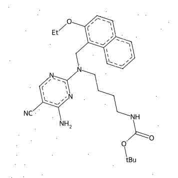 CCOc1ccc2ccccc2c1CN(CCCCNC(=O)OC(C)(C)C)c1ncc(C#N)c(N)n1